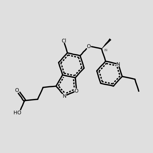 CCc1cccc([C@H](C)Oc2cc3onc(CCC(=O)O)c3cc2Cl)n1